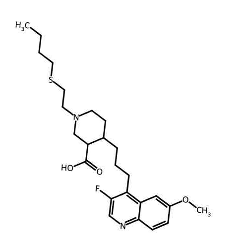 CCCCSCCN1CCC(CCCc2c(F)cnc3ccc(OC)cc23)C(C(=O)O)C1